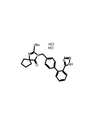 CCCCC1=NC2(CCCC2)C(=O)N1Cc1ccc(-c2ccccc2-c2nnn[nH]2)cc1.Cl.Cl